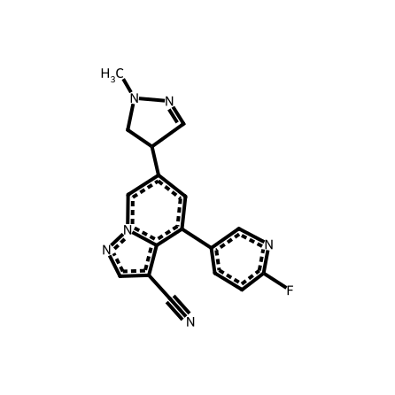 CN1CC(c2cc(-c3ccc(F)nc3)c3c(C#N)cnn3c2)C=N1